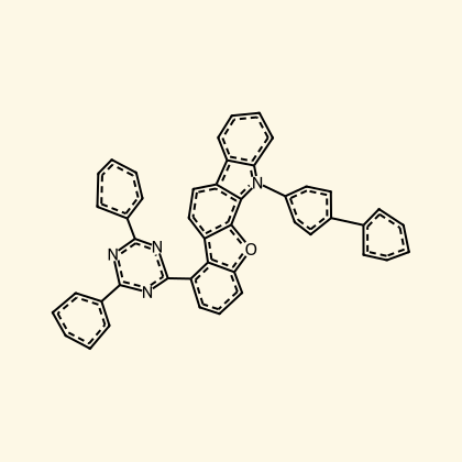 c1ccc(-c2ccc(-n3c4ccccc4c4ccc5c(oc6cccc(-c7nc(-c8ccccc8)nc(-c8ccccc8)n7)c65)c43)cc2)cc1